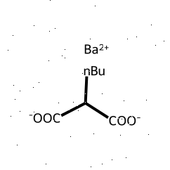 CCCCC(C(=O)[O-])C(=O)[O-].[Ba+2]